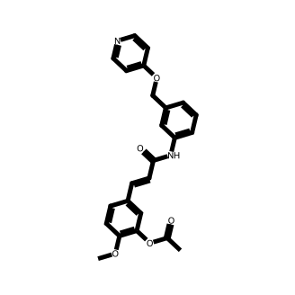 COc1ccc(C=CC(=O)Nc2cccc(COc3ccncc3)c2)cc1OC(C)=O